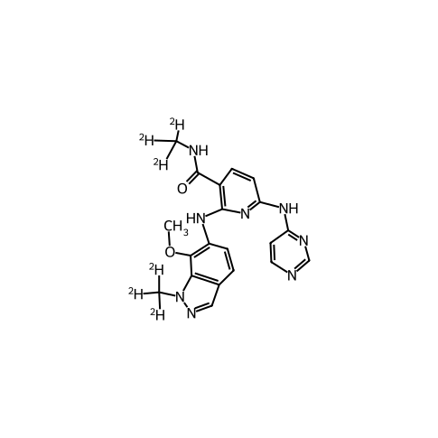 [2H]C([2H])([2H])NC(=O)c1ccc(Nc2ccncn2)nc1Nc1ccc2cnn(C([2H])([2H])[2H])c2c1OC